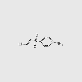 Nc1ccc(S(=O)(=O)C=CCl)cc1